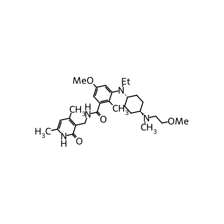 CCN(c1cc(OC)cc(C(=O)NCc2c(C)cc(C)[nH]c2=O)c1C)[C@H]1CC[C@H](N(C)CCOC)CC1